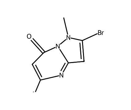 [CH2]c1cc(=O)n2c(cc(Br)n2C)n1